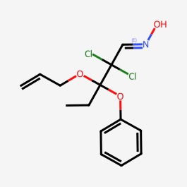 C=CCOC(CC)(Oc1ccccc1)C(Cl)(Cl)/C=N/O